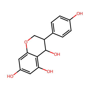 Oc1ccc(C2COc3cc(O)cc(O)c3C2O)cc1